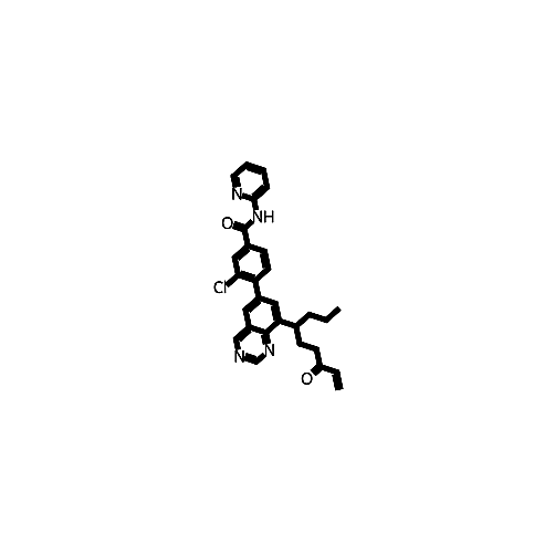 C=CC(=O)CCC(CCC)c1cc(-c2ccc(C(=O)Nc3ccccn3)cc2Cl)cc2cncnc12